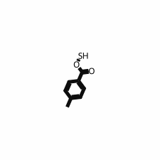 Cc1ccc(C(=O)OS)cc1